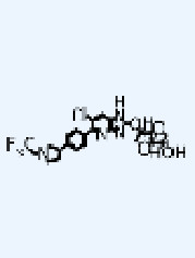 O[C@@H]1CO[C@H]2[C@@H]1OC[C@H]2Oc1nc2nc(-c3ccc(C4CCN(CC(F)(F)F)C4)cc3)c(Cl)cc2[nH]1